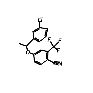 CC(Oc1ccc(C#N)c(C(F)(F)F)c1)c1cccc(Cl)c1